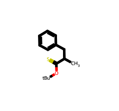 CC(Cc1ccccc1)C(=S)OC(C)(C)C